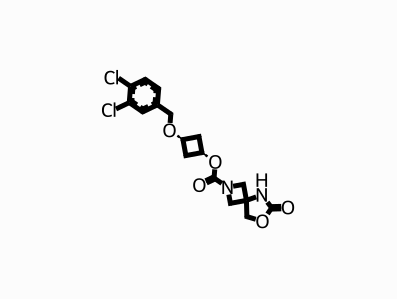 O=C1NC2(CO1)CN(C(=O)O[C@H]1C[C@@H](OCc3ccc(Cl)c(Cl)c3)C1)C2